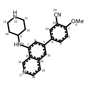 COc1ccc(-c2cc(NC3CCNCC3)c3cnccc3c2)cc1C#N